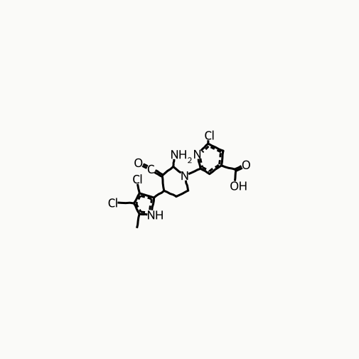 Cc1[nH]c(C2CCN(c3cc(C(=O)O)cc(Cl)n3)C(N)C2=C=O)c(Cl)c1Cl